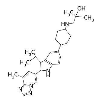 Cc1cc(-c2[nH]c3ccc(C4CCC(NCC(C)(C)O)CC4)cc3c2C(C)C)cn2ncnc12